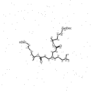 CCCCCCCCCCSSSCC(C)OC(=O)CCN(CCCN(C)C)CCC(=O)OC(C)CSSSCCCCCCCCCC